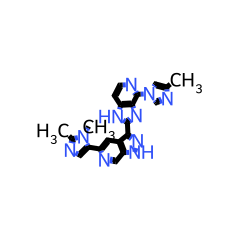 Cc1cn(-c2nccc3[nH]c(-c4n[nH]c5cnc(-c6cnc(C)n6C)cc45)nc23)cn1